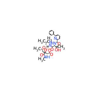 CNC(=O)[C@@]1(CC(C)=O)CC(=O)OB([C@H](CC(C)C)NC(=O)C(NC(=O)c2cccc(-c3ccccc3)n2)[C@@H](C)O)O1